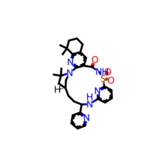 CC1(C)CCCc2cc3c(nc21)N1C[C@@H](CCC(c2ccccn2)Nc2cccc(n2)S(=O)(=O)NC3=O)CC1(C)C